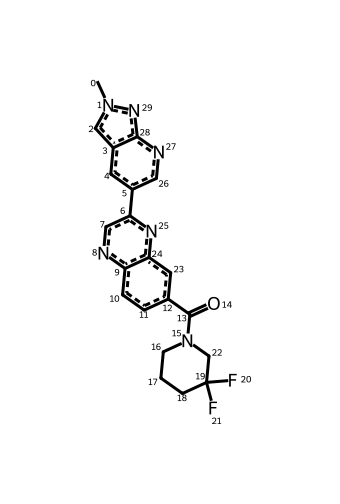 Cn1cc2cc(-c3cnc4ccc(C(=O)N5CCCC(F)(F)C5)cc4n3)cnc2n1